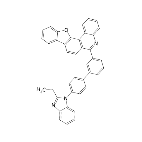 CCc1nc2ccccc2n1-c1ccc(-c2cccc(-c3nc4ccccc4c4c3ccc3c5ccccc5oc34)c2)cc1